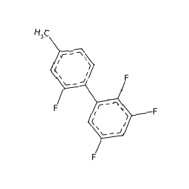 Cc1ccc(-c2cc(F)cc(F)c2F)c(F)c1